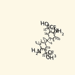 Cc1cc(C(C)(C)c2cc(C)c(N)c(C(C)(O)C(F)(F)F)c2)cc(C(C)(O)C(F)(F)F)c1N